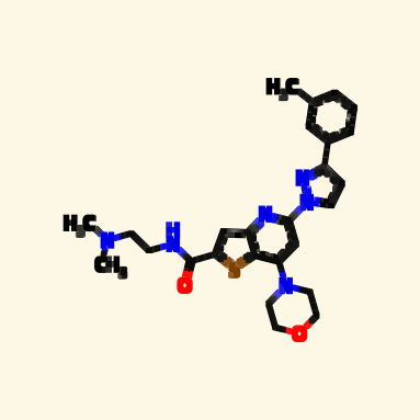 Cc1cccc(-c2ccn(-c3cc(N4CCOCC4)c4sc(C(=O)NCCN(C)C)cc4n3)n2)c1